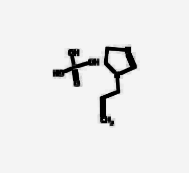 C=CCN1C=NCC1.O=P(O)(O)O